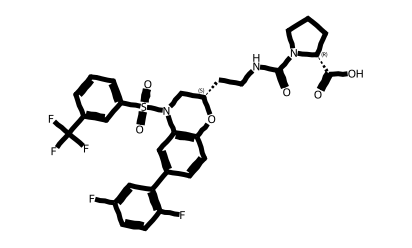 O=C(O)[C@H]1CCCN1C(=O)NCC[C@H]1CN(S(=O)(=O)c2cccc(C(F)(F)F)c2)c2cc(-c3cc(F)ccc3F)ccc2O1